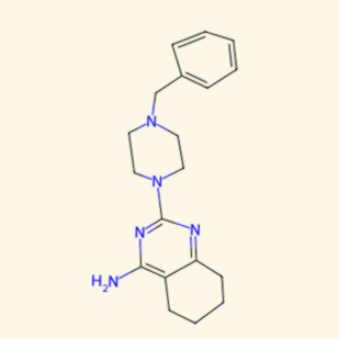 Nc1nc(N2CCN(Cc3ccccc3)CC2)nc2c1CCCC2